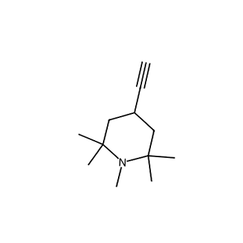 C#CC1CC(C)(C)N(C)C(C)(C)C1